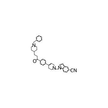 N#Cc1ccc2c(ccn2CN2CC=C(c3ccc(C(=O)CCC4CCN(Cc5ccccc5)CC4)cc3)CC2)c1